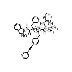 COC(=O)N[C@H](C(=O)NN(Cc1ccc(C#Cc2cccnc2)cc1)C[C@@](O)(Cc1ccccc1)C(=O)N[C@H]1c2ccccc2C[C@H]1O)C(C)(C)C